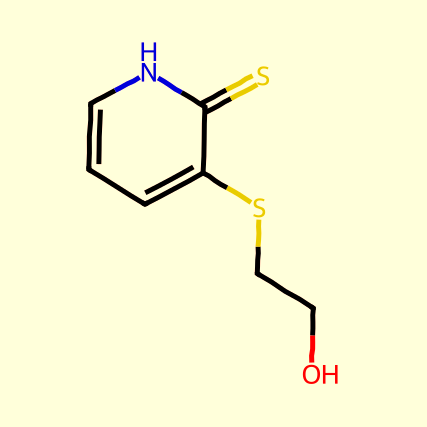 OCCSc1ccc[nH]c1=S